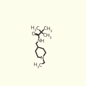 CCN1CCC(CNC(=O)C(C)(C)C)CC1